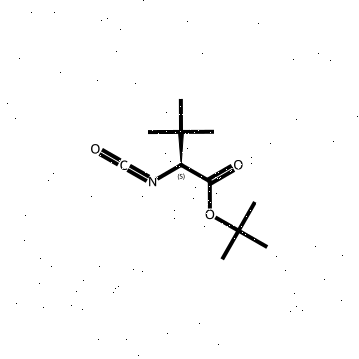 CC(C)(C)OC(=O)[C@@H](N=C=O)C(C)(C)C